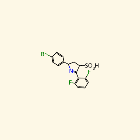 O=S(=O)(O)C1CC(c2ccc(Br)cc2)N=C1c1c(F)cccc1F